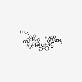 CCCCOC(=O)N(C[C@@H]1CCC(=O)N1)C1COc2cc(-c3cccc(-c4cccc(NC(=O)c5cn(C)c(=O)n(C)c5=O)c4C)c3Cl)nc(OC)c21